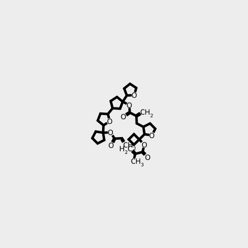 C=CC(=O)OC1(C2CCC(C3CCC(OC(=O)C(=C)CC4CCOC4C4(OC(=O)C(=C)C)CCC4)(C4CCCO4)C3)O2)CCCC1